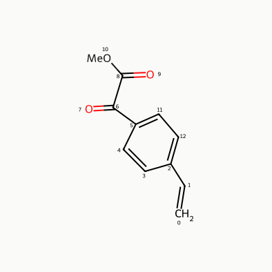 C=Cc1ccc(C(=O)C(=O)OC)cc1